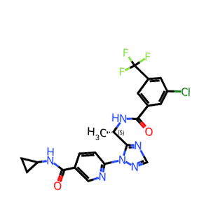 C[C@H](NC(=O)c1cc(Cl)cc(C(F)(F)F)c1)c1ncnn1-c1ccc(C(=O)NC2CC2)cn1